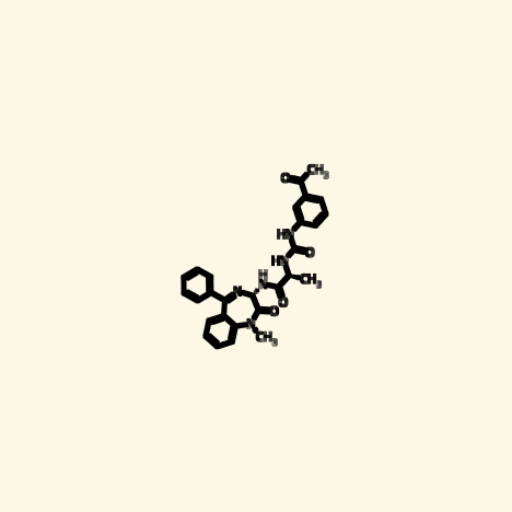 CC(=O)c1cccc(NC(=O)N[C@@H](C)C(=O)N[C@H]2N=C(c3ccccc3)c3ccccc3N(C)C2=O)c1